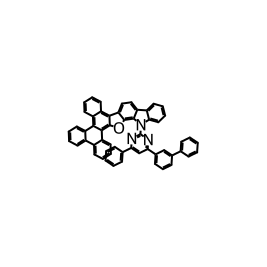 c1ccc(-c2cccc(-c3cc(-c4ccccc4)nc(-n4c5ccccc5c5ccc6c(oc7c6c6ccccc6c6c8ccccc8c8ccccc8c76)c54)n3)c2)cc1